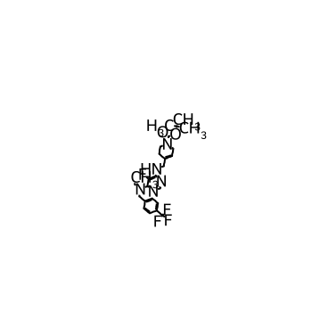 CCN(Cc1ccc(C(F)(F)F)cc1)c1ncnc(NCC2=CCN(C(=O)OC(C)(C)C)CC2)c1F